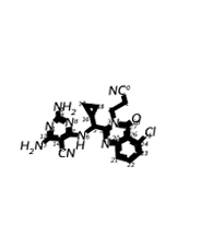 N#CCCn1c(C(Nc2nc(N)nc(N)c2C#N)C2CC2)nc2cccc(Cl)c2c1=O